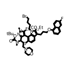 CCOC(=O)c1c(CCCOc2cccc3cc(F)ccc23)c2ccc(Cl)c(-c3c(C(CCN4CCOCC4)N(C)C(=O)OC(C)(C)C)nn(C)c3CC)c2n1CCCCBr